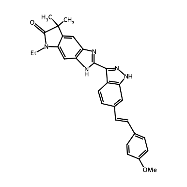 CCN1C(=O)C(C)(C)c2cc3nc(-c4n[nH]c5cc(/C=C/c6ccc(OC)cc6)ccc45)[nH]c3cc21